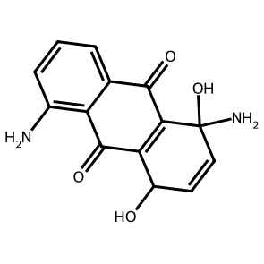 Nc1cccc2c1C(=O)C1=C(C2=O)C(N)(O)C=CC1O